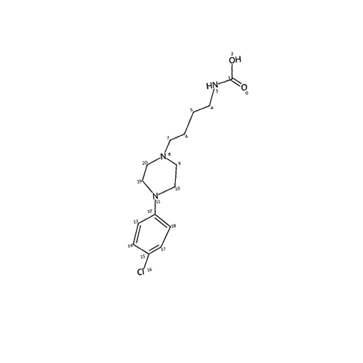 O=C(O)NCCCCN1CCN(c2ccc(Cl)cc2)CC1